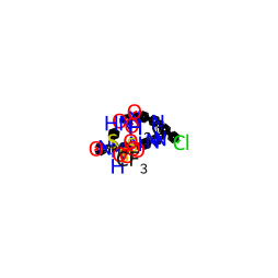 C[C@@]1(CN2CCC(c3ccc4c(c3)CN(C3CCC(=O)NC3=O)C4=O)CC2)CCC(c2ccc(Cl)cc2)=C(CN2CCN(c3ccc(C(=O)NS(=O)(=O)c4ccc(N[C@H](CCN5CCCOCC5)CSc5ccccc5)c(S(=O)(=O)C(F)(F)F)c4)cc3)CC2)C1